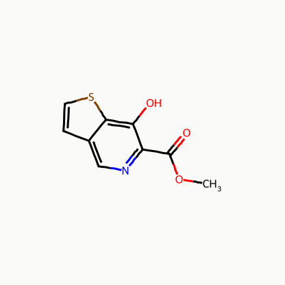 COC(=O)c1ncc2ccsc2c1O